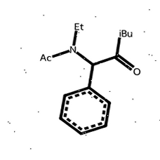 CCC(C)C(=O)C(c1ccccc1)N(CC)C(C)=O